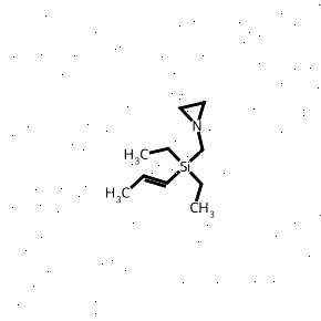 CC=C[Si](CC)(CC)CN1CC1